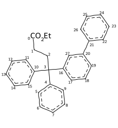 CCOC(=O)CCC(c1ccccc1)(c1ccccc1)c1cccc(-c2ccccc2)c1